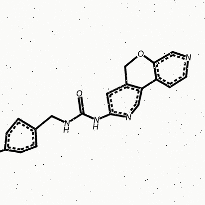 O=C(NCc1ccc(F)cc1)Nc1cc2c(cn1)-c1ccncc1OC2